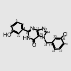 O=c1[nH]c(-c2cccc(O)c2)nc2ncn(Cc3cccc(Cl)c3)c12